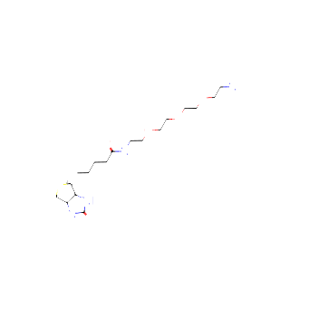 NCCOCCOCCOCCNC(=O)CCCC[C@H]1SCC2NC(=O)NC21